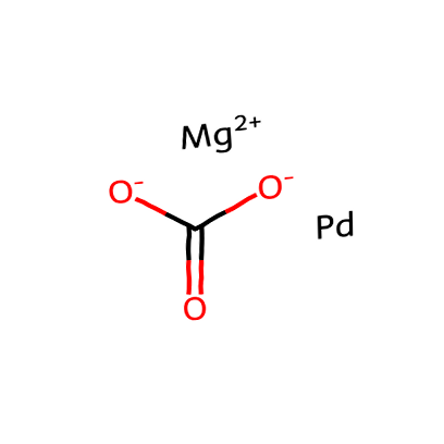 O=C([O-])[O-].[Mg+2].[Pd]